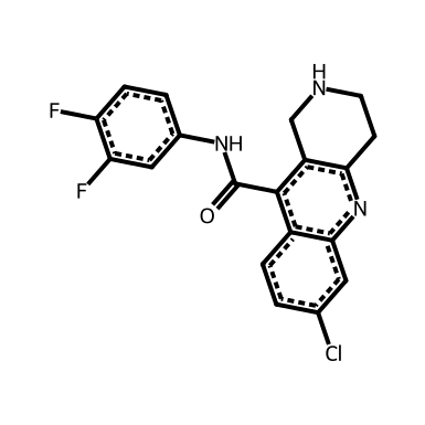 O=C(Nc1ccc(F)c(F)c1)c1c2c(nc3cc(Cl)ccc13)CCNC2